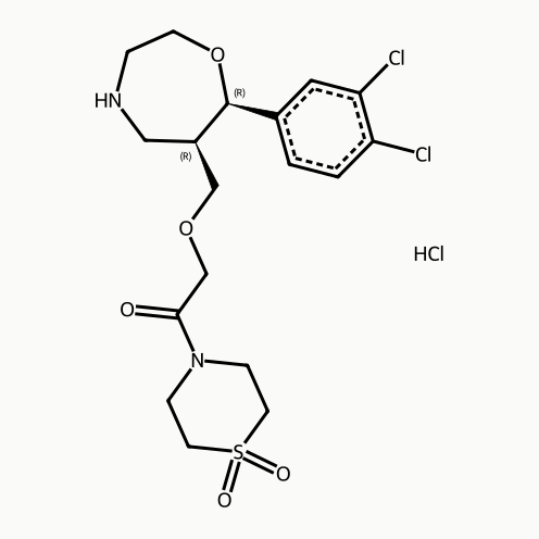 Cl.O=C(COC[C@H]1CNCCO[C@H]1c1ccc(Cl)c(Cl)c1)N1CCS(=O)(=O)CC1